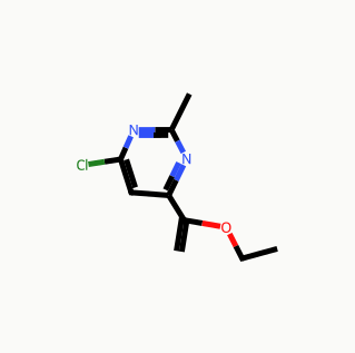 C=C(OCC)c1cc(Cl)nc(C)n1